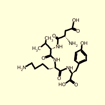 CC(C)[C@H](NC(=O)[C@@H](N)CC(=O)O)C(=O)N[C@@H](CCCCN)C(=O)N[C@@H](Cc1ccc(O)cc1)C(=O)O